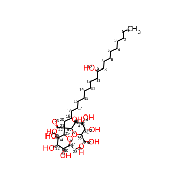 CCCCCCCCCC(O)CCCCCCCCCCC(C(=O)O)(C1O[C@H](CO)[C@@H](O)[C@H](O)[C@H]1O)C1O[C@H](CO)[C@@H](O)[C@H](O)[C@H]1O